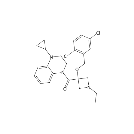 CCN1CC(OCc2cc(Cl)ccc2Cl)(C(=O)N2CCN(C3CC3)c3ccccc32)C1